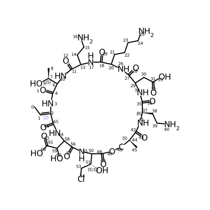 C/C=C1\NC(=O)C([C@H](C)O)NC(=O)C(CCN)NC(=O)C(CCCCN)NC(=O)C(CC(=O)O)NC(=O)[C@@H](CCN)NC(=O)[C@@H](C)COC(=O)C([C@H](O)CCl)NC(=O)C(C(O)C(=O)O)NC1=O